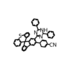 N#CC1=CCC(c2cc3c(cc2C2=NC(c4ccccc4)NC(c4ccccc4)=N2)C2(c4ccccc4Sc4ccccc42)c2ccccc2-3)C=C1